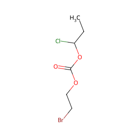 CCC(Cl)OC(=O)OCCBr